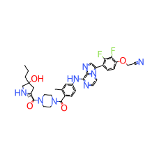 CCCC1(O)CN[C@H](C(=O)N2CCN(C(=O)c3ccc(Nc4nccn5c(-c6ccc(OCC#N)c(F)c6F)cnc45)cc3C)CC2)C1